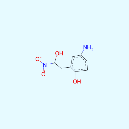 Nc1ccc(O)c(CC(O)[N+](=O)[O-])c1